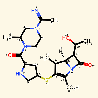 CC(=N)N1CCN(C(=O)C2CC(SC3=C(C(=O)O)N4C(=O)C(C(C)O)[C@@H]4C3C)CN2)C(C)C1